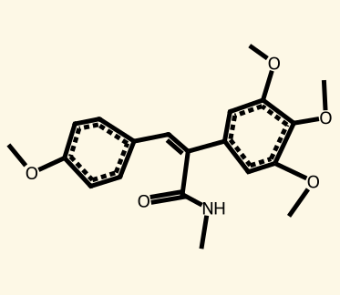 CNC(=O)C(=Cc1ccc(OC)cc1)c1cc(OC)c(OC)c(OC)c1